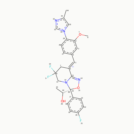 COc1cc(/C=C2\CC(F)(F)CN3C2=NO[C@]3(c2ccc(F)cc2)C(C)O)ccc1-n1cnc(C)c1